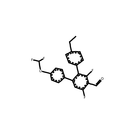 CCc1ccc(-c2c(-c3ccc(OC(F)F)cc3)cc(F)c(C=O)c2F)cc1